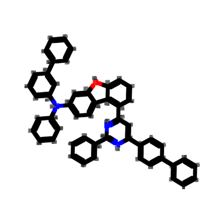 c1ccc(-c2ccc(-c3cc(-c4cccc5oc6cc(N(c7ccccc7)c7cccc(-c8ccccc8)c7)ccc6c45)nc(-c4ccccc4)n3)cc2)cc1